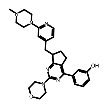 CN1CCN(c2cc(CC3CCc4c(-c5cccc(O)c5)nc(N5CCOCC5)nc43)ccn2)CC1